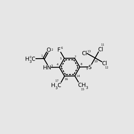 CC(=O)Nc1c(F)cc(SC(Cl)(Cl)Cl)c(C)c1C